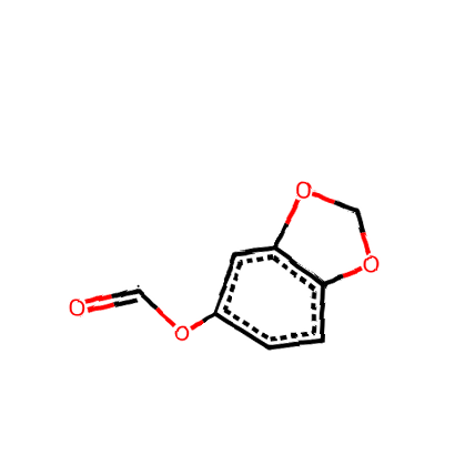 O=[C]Oc1ccc2c(c1)OCO2